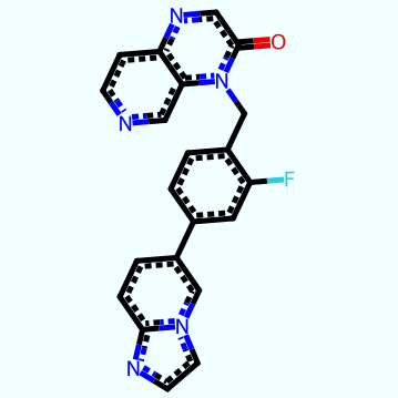 O=c1cnc2ccncc2n1Cc1ccc(-c2ccc3nccn3c2)cc1F